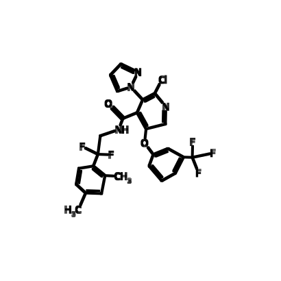 Cc1ccc(C(F)(F)CNC(=O)c2c(Oc3cccc(C(F)(F)F)c3)cnc(Cl)c2-n2cccn2)c(C)c1